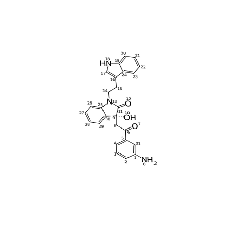 Nc1cccc(C(=O)C[C@]2(O)C(=O)N(CCc3c[nH]c4ccccc34)c3ccccc32)c1